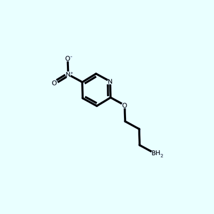 BCCCOc1ccc([N+](=O)[O-])cn1